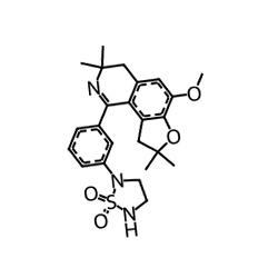 COc1cc2c(c3c1OC(C)(C)C3)C(c1cccc(N3CCNS3(=O)=O)c1)=NC(C)(C)C2